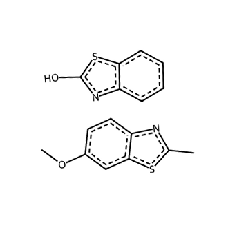 COc1ccc2nc(C)sc2c1.Oc1nc2ccccc2s1